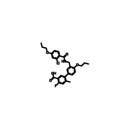 CCCOc1ccc(C(=O)NCc2cc(-c3cc(C(=O)O)c(F)cc3C)ccc2OCCC)c(Cl)c1